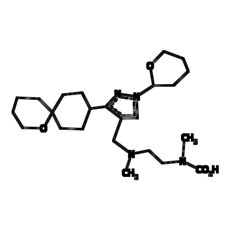 CN(CCN(C)C(=O)O)Cc1cn(C2CCCCO2)nc1C1CCC2(CCCCO2)CC1